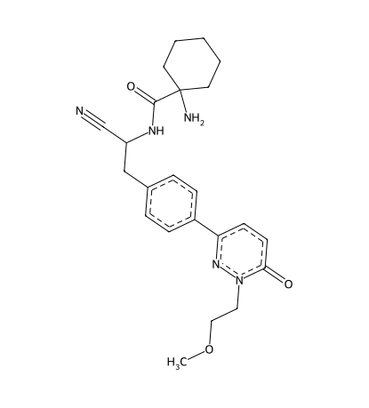 COCCn1nc(-c2ccc(CC(C#N)NC(=O)C3(N)CCCCC3)cc2)ccc1=O